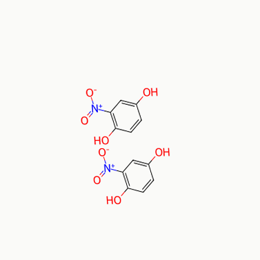 O=[N+]([O-])c1cc(O)ccc1O.O=[N+]([O-])c1cc(O)ccc1O